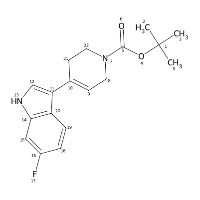 CC(C)(C)OC(=O)N1CC=C(c2c[nH]c3cc(F)ccc23)CC1